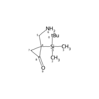 CC(C)(C)[Si](C)(C)C1(CN)CC1=O